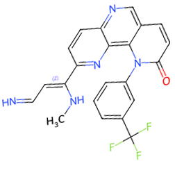 CN/C(=C\C=N)c1ccc2ncc3ccc(=O)n(-c4cccc(C(F)(F)F)c4)c3c2n1